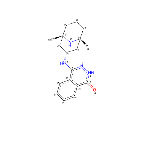 O=c1[nH]nc(N[C@H]2C[C@H]3CCC[C@@H](C2)N3)c2ccccc12